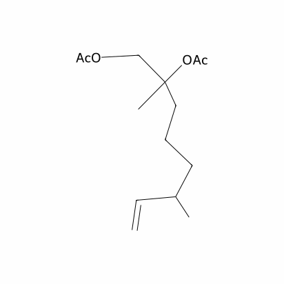 C=CC(C)CCCC(C)(COC(C)=O)OC(C)=O